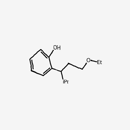 CCOCCC(c1ccccc1O)C(C)C